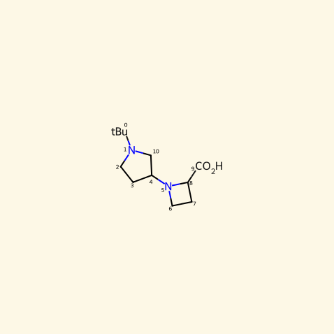 CC(C)(C)N1CCC(N2CCC2C(=O)O)C1